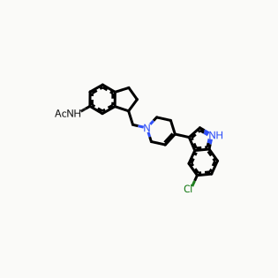 CC(=O)Nc1ccc2c(c1)C(CN1CC=C(c3c[nH]c4ccc(Cl)cc34)CC1)CC2